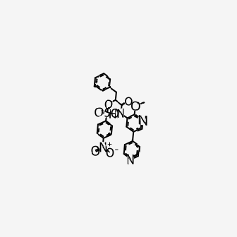 COc1ncc(-c2ccncc2)cc1NC(=O)C(Cc1ccccc1)OS(=O)(=O)c1ccc([N+](=O)[O-])cc1